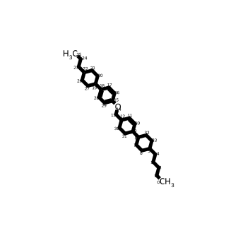 CCCCCC1CCC(C2C=CC(COc3ccc(C4CCC(CCC)CC4)cc3)CC2)CC1